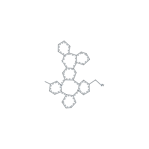 Cc1ccc2c3ccccc3[n+]3ccc(CC(C)C)cc3c3cc4c(cc3[n+]2c1)sc1ccccc1c1ccccc41